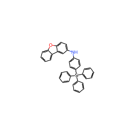 c1ccc([Si](c2ccccc2)(c2ccccc2)c2ccc(Nc3ccc4oc5ccccc5c4c3)cc2)cc1